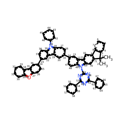 CC1(C)c2ccccc2-c2cc3c4cc(-c5ccc6c(c5)c5cc(-c7ccc8oc9ccccc9c8c7)ccc5n6-c5ccccc5)ccc4n(-c4nc(-c5ccccc5)nc(-c5ccccc5)n4)c3cc21